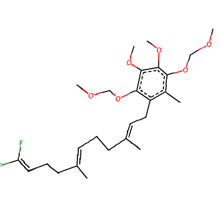 COCOc1c(C)c(C/C=C(\C)CC/C=C(\C)CCC=C(F)F)c(OCOC)c(OC)c1OC